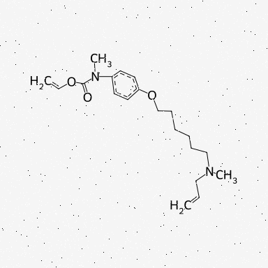 C=CCN(C)CCCCCCOc1ccc(N(C)C(=O)OC=C)cc1